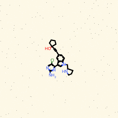 Nc1ncc(Cl)c(-c2cn(CC3CCCN3)c3ccc(C#CC4(O)CCCC4)cc23)n1